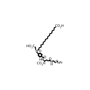 CCCOCCNC(=O)CCC(NC(=O)c1ccc(CN(CCC(=O)O)C(=O)CCCCCCCCCCCCCCCCC(=O)O)cc1)C(=O)O